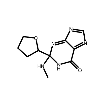 CNC1(C2CCCO2)N=C2N=CN=C2C(=O)N1